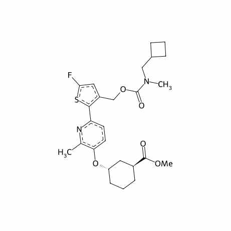 COC(=O)[C@H]1CCC[C@H](Oc2ccc(-c3sc(F)cc3COC(=O)N(C)CC3CCC3)nc2C)C1